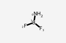 NB(F)F